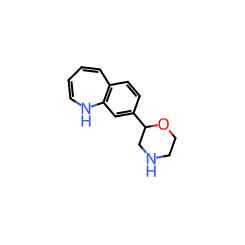 C1=CNc2cc(C3CNCCO3)ccc2C=C1